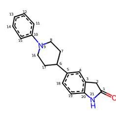 O=C1Cc2cc(C3CCN(c4ccccc4)CC3)ccc2N1